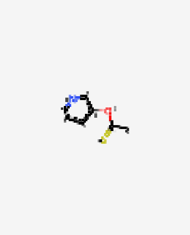 CC(=S)Oc1cccnc1